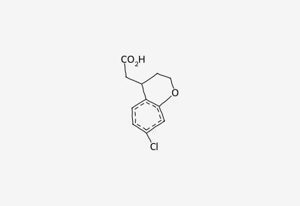 O=C(O)CC1CCOc2cc(Cl)ccc21